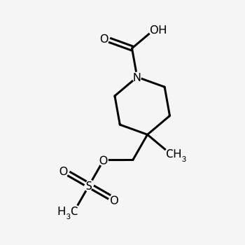 CC1(COS(C)(=O)=O)CCN(C(=O)O)CC1